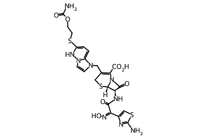 NC(=O)OCCSC1=CC=C2N(CC3=C(C(=O)O)N4C(=O)[C@@H](NC(=O)/C(=N\O)c5csc(N)n5)[C@@H]4SC3)C=CN2N1